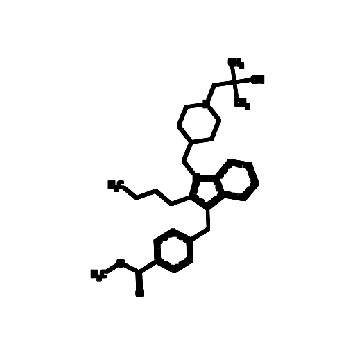 CCCCc1c(Cc2ccc(C(=O)OC)cc2)c2ccccc2n1CC1CCN(CC(C)(C)O)CC1